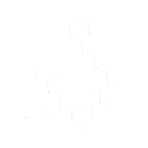 CSCCC(NC(=O)C(N)CO)C(=O)NC(CC(C)C)C(=O)NC(C(=O)NC(Cc1ccccc1)C(=O)O)C(C)C